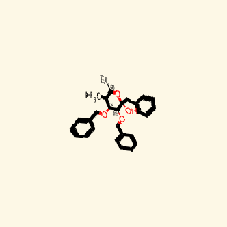 CC[C@H]1O[C@@](O)(Cc2ccccc2)[C@H](OCc2ccccc2)[C@@H](OCc2ccccc2)C1C